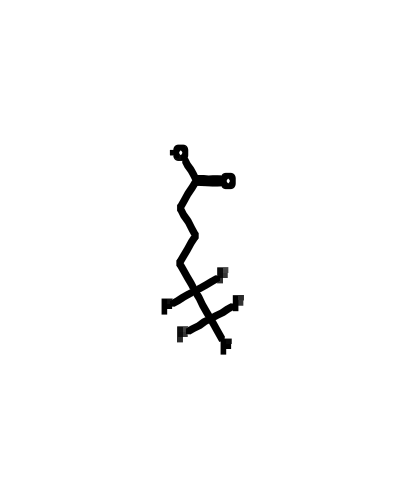 [O]C(=O)CCCC(F)(F)C(F)(F)F